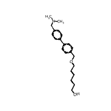 CN(C)Cc1ccc(-c2ccc(COCCCCCCO)cc2)cc1